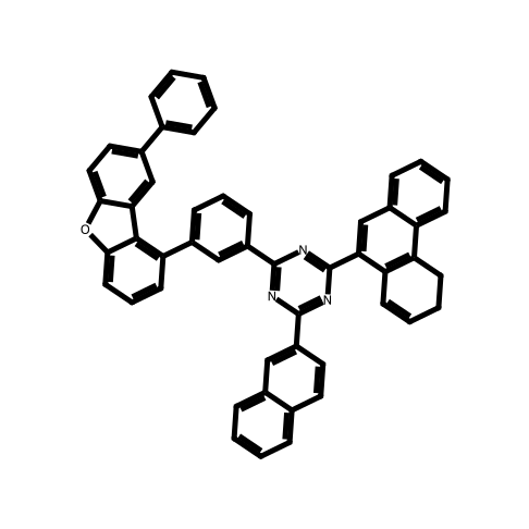 C1=Cc2c(-c3nc(-c4cccc(-c5cccc6oc7ccc(-c8ccccc8)cc7c56)c4)nc(-c4ccc5ccccc5c4)n3)cc3ccccc3c2CC1